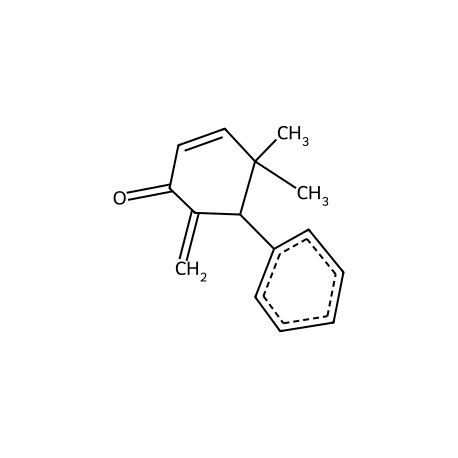 C=C1C(=O)C=CC(C)(C)C1c1ccccc1